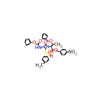 CC(OCc1ccccc1)=C(C(=O)OCc1ccc([N+](=O)[O-])cc1)N1C(=O)C(NC(=O)COc2ccccc2)C1SS(=O)(=O)c1ccc(C)cc1